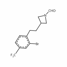 O=[C]N1CC(CCc2ccc(C(F)(F)F)cc2Br)C1